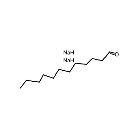 CCCCCCCCCCCC=O.[NaH].[NaH]